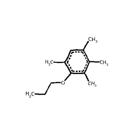 CCCOc1c(C)cc(C)c(C)c1C